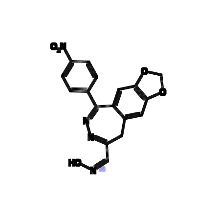 O=[N+]([O-])c1ccc(C2=NN=C(/C=N\O)Cc3cc4c(cc32)OCO4)cc1